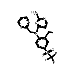 CCc1cc(S(=O)(=O)C(F)(F)F)ccc1N(Cc1ncccn1)c1ccnc(N)n1